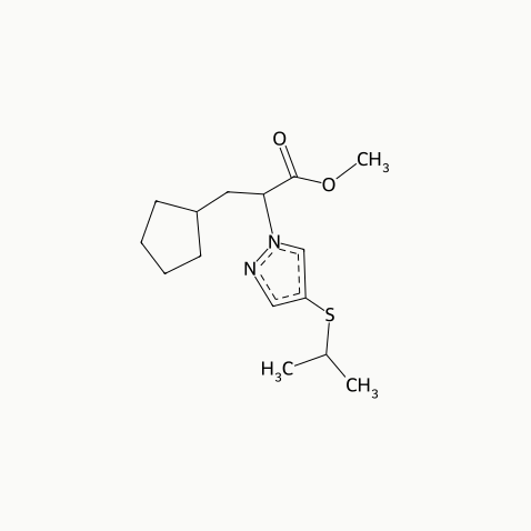 COC(=O)C(CC1CCCC1)n1cc(SC(C)C)cn1